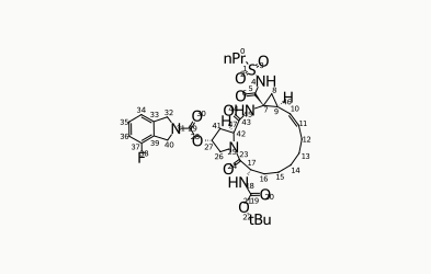 CCCS(=O)(=O)NC(=O)[C@@]12C[C@H]1/C=C\CCCCC[C@H](NC(=O)OC(C)(C)C)C(=O)N1C[C@H](OC(=O)N3Cc4cccc(F)c4C3)C[C@H]1C(=O)N2